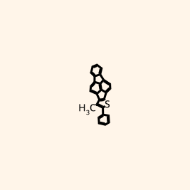 Cc1c(-c2ccccc2)sc2c1-c1ccc3c4c(ccc-2c14)-c1ccccc1-3